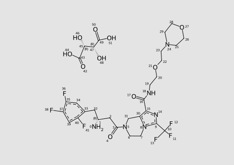 N[C@@H](CC(=O)N1CCn2c(C(F)(F)F)nc(C(=O)NCCOCCN3CCOCC3)c2C1)Cc1cc(F)c(F)cc1F.O=C(O)[C@H](O)[C@@H](O)C(=O)O